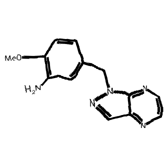 COc1ccc(Cn2ncc3nccnc32)cc1N